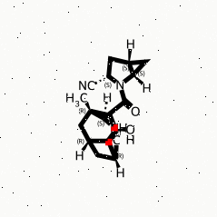 C[C@]12C[C@H]3C[C@@H](CN[C@@H]1C(=O)N1[C@H](C#N)C[C@@H]4C[C@@H]41)C[C@](O)(C3)C2